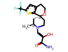 C[C@H]1C[C@@]2(CCN1C=C(O)C(N)=O)OCCc1cc(C(F)(F)F)sc12